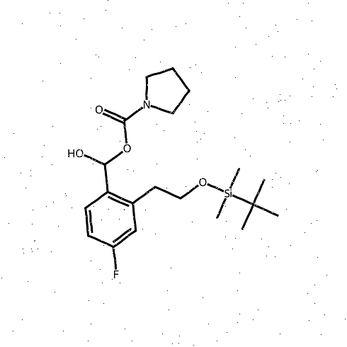 CC(C)(C)[Si](C)(C)OCCc1cc(F)ccc1C(O)OC(=O)N1CCCC1